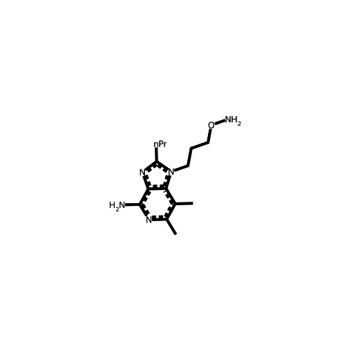 CCCc1nc2c(N)nc(C)c(C)c2n1CCCON